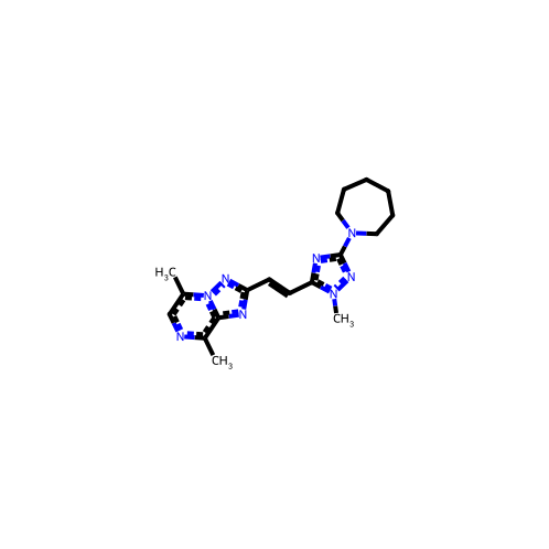 Cc1ncc(C)n2nc(C=Cc3nc(N4CCCCCC4)nn3C)nc12